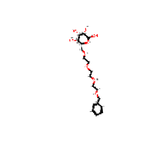 OC1O[C@H](COCCOCCOCCOCc2ccccc2)[C@@H](O)[C@H](O)[C@@H]1O